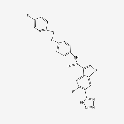 O=C(Nc1ccc(OCc2ccc(F)cn2)cc1)c1coc2cc(-c3nnn[nH]3)c(F)cc12